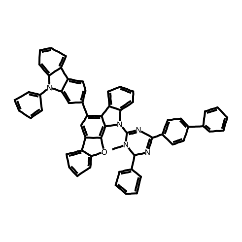 CN1C(n2c3ccccc3c3c(-c4ccc5c6ccccc6n(-c6ccccc6)c5c4)cc4c5ccccc5oc4c32)=NC(c2ccc(-c3ccccc3)cc2)=NC1c1ccccc1